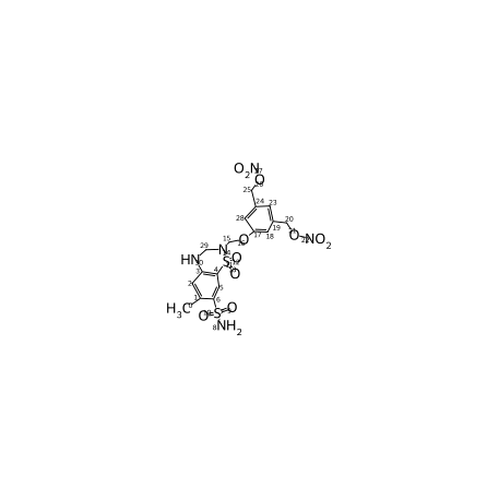 Cc1cc2c(cc1S(N)(=O)=O)S(=O)(=O)N(COc1cc(CO[N+](=O)[O-])cc(CO[N+](=O)[O-])c1)CN2